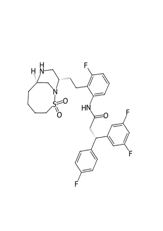 O=C(C[C@@H](c1ccc(F)cc1)c1cc(F)cc(F)c1)Nc1cccc(F)c1CC[C@H]1CN[C@@H]2CCCCS(=O)(=O)N1C2